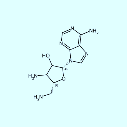 NC[C@H]1O[C@@H](n2cnc3c(N)ncnc32)C(O)C1N